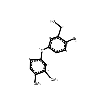 COc1ccc(Oc2ccc(Br)c(CO)c2)cc1OC